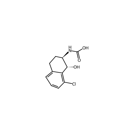 O=C(O)N[C@@H]1CCc2cccc(Cl)c2[C@H]1O